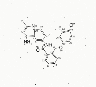 Cc1cc(N)c2cc(NC(=O)c3ccccc3COc3ccc(Cl)c(C)c3)ccc2n1